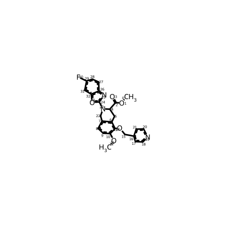 COC(=O)C1Cc2c(ccc(OC)c2OCc2ccncc2)CN1c1nc2ccc(F)cc2o1